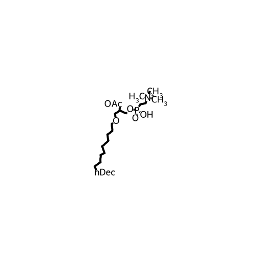 CCCCCCCCCCCCCCCCCCCOCC(COP(=O)(O)CC[N+](C)(C)C)OC(C)=O